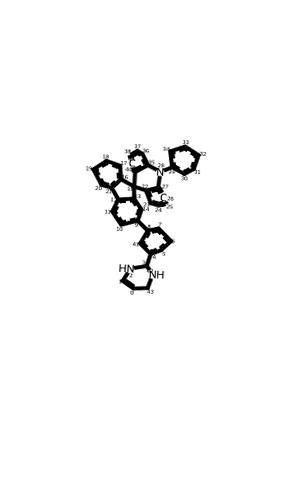 C1=CNC(c2cccc(-c3ccc4c(c3)C3(c5ccccc5-4)c4ccccc4N(c4ccccc4)c4ccccc43)c2)NC1